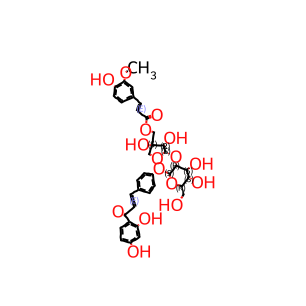 COc1cc(/C=C/C(=O)OC[C@@]2(O)CO[C@@H](O[C@H]3[C@H](Oc4ccc(/C=C/C(=O)c5ccc(O)cc5O)cc4)O[C@H](CO)[C@@H](O)[C@@H]3O)[C@@H]2O)ccc1O